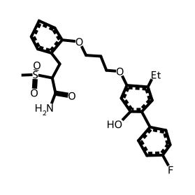 CCc1cc(-c2ccc(F)cc2)c(O)cc1OCCCOc1ccccc1CC(C(N)=O)S(C)(=O)=O